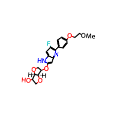 COCCOc1ccc(-c2nc3cc(O[C@@H]4CO[C@H]5[C@@H]4OC[C@H]5O)[nH]c3cc2F)cc1